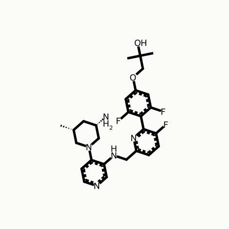 C[C@@H]1C[C@H](N)CN(c2ccncc2NCc2ccc(F)c(-c3c(F)cc(OCC(C)(C)O)cc3F)n2)C1